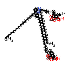 CCCCCCCCCCCCCCCCCCCCCCCCCc1cccc(N=C(CCCC)C(CCCCCCCCCCCCCCCCCCCCCCC)=Nc2cccc(CCCCCCCCCCCCCCCCCCCCCCCCC)c2)c1.CCCc1ccc(O)c(O)c1C(=O)[O-].CCCc1ccc(O)c(O)c1C(=O)[O-].[Ni+2]